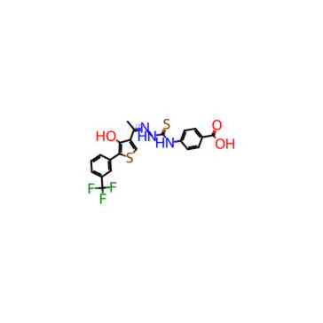 C/C(=N/NC(=S)Nc1ccc(C(=O)O)cc1)c1csc(-c2cccc(C(F)(F)F)c2)c1O